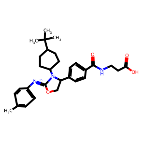 Cc1ccc(/N=C2\OCC(c3ccc(C(=O)NCCC(=O)O)cc3)N2C2CCC(C(C)(C)C)CC2)cc1